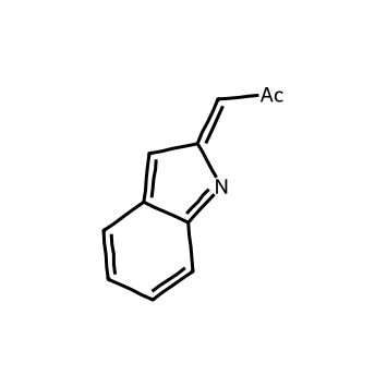 CC(=O)C=C1C=c2ccccc2=N1